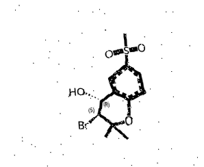 CC1(C)Oc2ccc(S(C)(=O)=O)cc2[C@@H](O)[C@@H]1Br